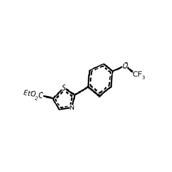 CCOC(=O)c1cnc(-c2ccc(OC(F)(F)F)cc2)s1